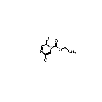 CCOC(=O)N1C=C(Cl)N=CC1Cl